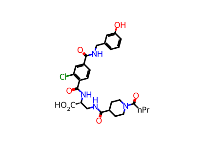 CCCC(=O)N1CCC(C(=O)NC[C@H](NC(=O)c2ccc(C(=O)NCc3cccc(O)c3)cc2Cl)C(=O)O)CC1